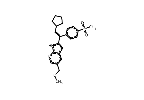 COCc1cnc2[nH]c(/C(=C/C3CCCC3)c3ccc(S(C)(=O)=O)cc3)cc2c1